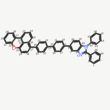 c1ccc(-c2nc3cc(-c4ccc(-c5ccc(-c6ccc7c8c(cccc68)-c6ccccc6O7)cc5)cc4)ccc3n2-c2ccccc2)cc1